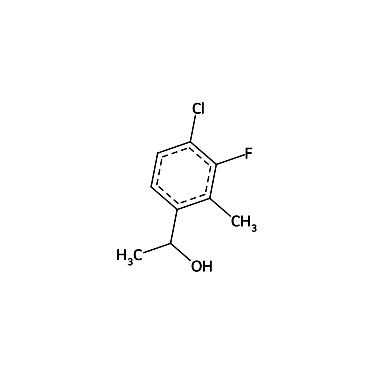 Cc1c(C(C)O)ccc(Cl)c1F